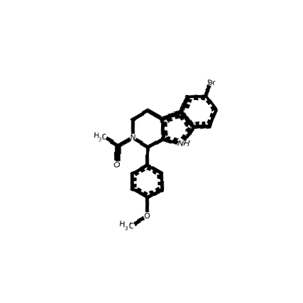 COc1ccc(C2c3[nH]c4ccc(Br)cc4c3CCN2C(C)=O)cc1